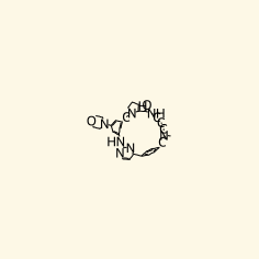 CN1CCCNC(=O)[C@@H]2CCCN2Cc2cc(cc(N3CCOCC3)c2)Nc2nccc(n2)-c2ccc(cc2)C1